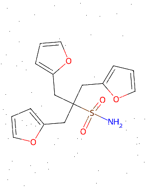 NS(=O)(=O)C(Cc1ccco1)(Cc1ccco1)Cc1ccco1